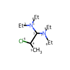 CCN(CC)C(C(C)Cl)N(CC)CC